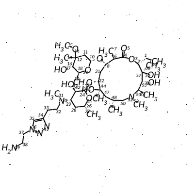 CC[C@H]1OC(=O)[C@H](C)[C@@H](O[C@H]2C[C@@](C)(OC)[C@@H](O)[C@H](C)O2)C[C@@H](O[C@@H]2O[C@H](C)C[C@H](N(C)CCc3cn(CCN)nn3)[C@H]2O)[C@](C)(O)C[C@@H](C)CN(C)[C@H](C)[C@@H](O)[C@]1(C)O